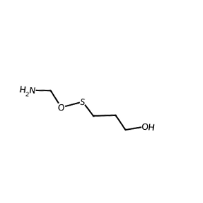 NCOSCCCO